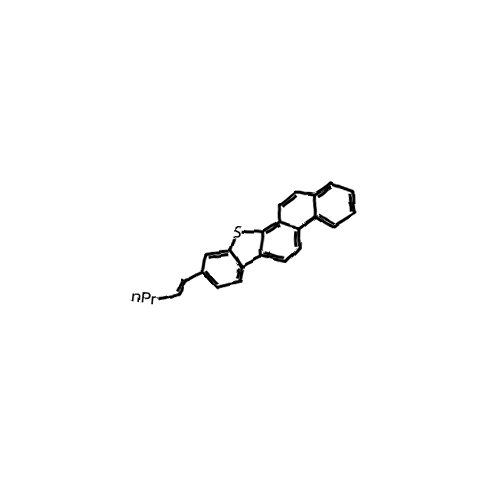 CCC/C=C/c1ccc2c(c1)sc1c2ccc2c3ccccc3ccc21